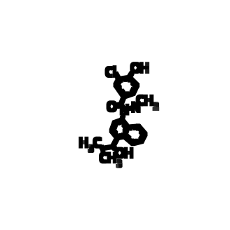 C=NN(C(=O)c1ccc(O)c(Cl)c1)c1ccc(C(O)C(C)C)c2ccccc12